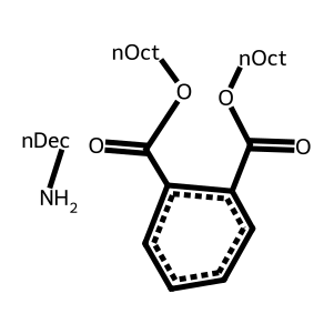 CCCCCCCCCCN.CCCCCCCCOC(=O)c1ccccc1C(=O)OCCCCCCCC